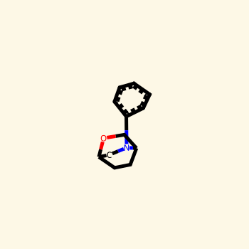 [c]1ccc(N2CC3CCC2CO3)cc1